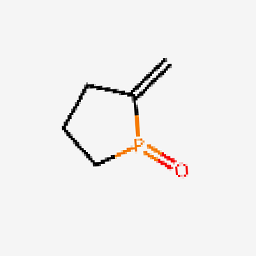 C=C1CCC[P]1=O